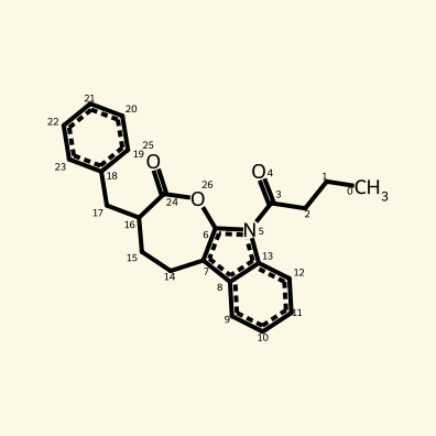 CCCC(=O)n1c2c(c3ccccc31)CCC(Cc1ccccc1)C(=O)O2